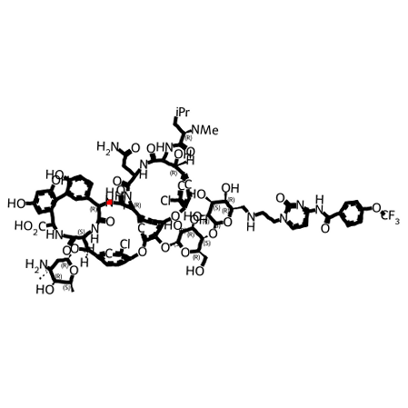 CN[C@H](CC(C)C)C(=O)NC1C(=O)NC(CC(N)=O)C(=O)N[C@H]2C(=O)N[C@H]3C(=O)N[C@H](C(=O)NC(C(=O)O)c4cc(O)cc(O)c4-c4cc3ccc4O)[C@H](O[C@H]3C[C@](C)(N)[C@@H](O)[C@H](C)O3)c3ccc(c(Cl)c3)Oc3cc2cc(c3O[C@@H]2O[C@H](CO)[C@@H](O[C@@H]3O[C@H](CNCCn4ccc(NC(=O)c5ccc(OC(F)(F)F)cc5)nc4=O)[C@H](O)[C@H](O)[C@H]3O)[C@H](O)[C@H]2O)Oc2ccc(cc2Cl)[C@H]1O